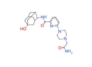 NC(=O)CN1CCN(c2cccc(C(=O)NC3C4CC5CC3CC(O)(C5)C4)n2)CC1